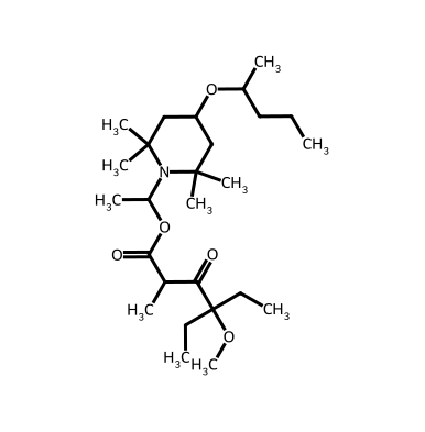 CCCC(C)OC1CC(C)(C)N(C(C)OC(=O)C(C)C(=O)C(CC)(CC)OC)C(C)(C)C1